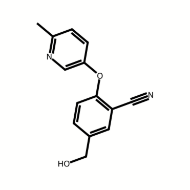 Cc1ccc(Oc2ccc(CO)cc2C#N)cn1